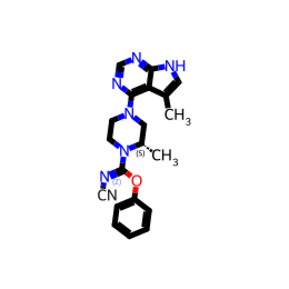 Cc1c[nH]c2ncnc(N3CCN(/C(=N/C#N)Oc4ccccc4)[C@@H](C)C3)c12